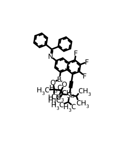 CC(C)[Si](C#Cc1c(F)c(F)c(F)c2cc(N=C(c3ccccc3)c3ccccc3)cc(B3OC(C)(C)C(C)(C)O3)c12)(C(C)C)C(C)C